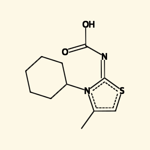 Cc1cs/c(=N/C(=O)O)n1C1CCCCC1